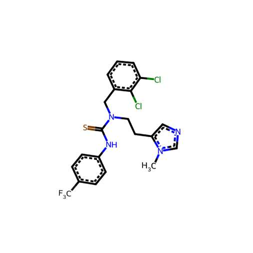 Cn1cncc1CCN(Cc1cccc(Cl)c1Cl)C(=S)Nc1ccc(C(F)(F)F)cc1